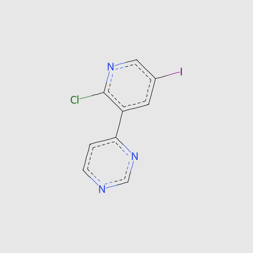 Clc1ncc(I)cc1-c1ccncn1